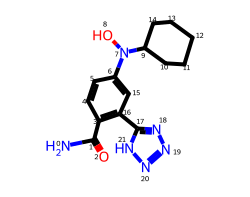 NC(=O)c1ccc(N(O)C2CCCCC2)cc1-c1nnn[nH]1